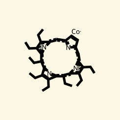 CCC1=C(CC)c2nc1c(CC)c1[nH]c(cc3nc(cc4[nH]c(c2CC)c(CC)c4CC)C=C3)c(CC)c1CC.[Co]